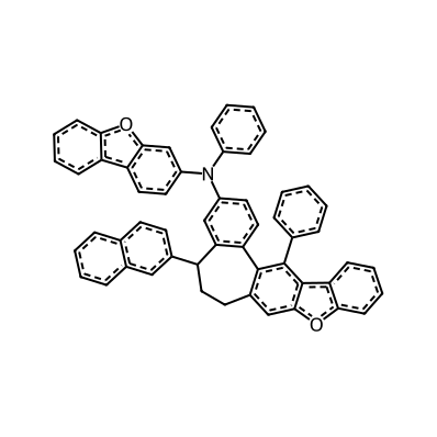 c1ccc(-c2c3c(cc4oc5ccccc5c24)CCC(c2ccc4ccccc4c2)c2cc(N(c4ccccc4)c4ccc5c(c4)oc4ccccc45)ccc2-3)cc1